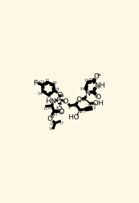 C#C[C@H](O)C(COP(=S)(NC(C)C(=O)OC(C)C)Oc1ccc(F)cc1)O[C@H](CO)n1ccc(=O)[nH]c1=O